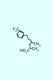 CC(CCCc1cccc(C(F)(F)F)c1)CC(C)C(=O)O